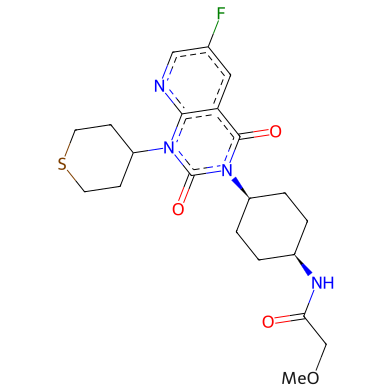 COCC(=O)N[C@H]1CC[C@@H](n2c(=O)c3cc(F)cnc3n(C3CCSCC3)c2=O)CC1